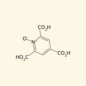 O=C(O)c1cc(C(=O)O)[n+]([O-])c(C(=O)O)c1